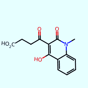 Cn1c(=O)c(C(=O)CCC(=O)O)c(O)c2ccccc21